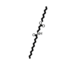 CCCCCCCCCCCC(=O)NCCCC(=O)OCCCCCCCC